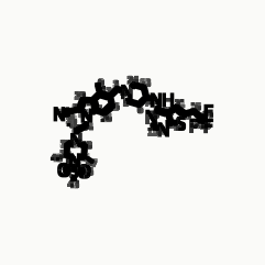 Cc1c(CN2CCC(Nc3ncnc4sc(CC(F)(F)F)cc34)CC2)ccc2c1cc(C#N)n2C[C@@H](C)N1C[C@@H](C)N(S(C)(=O)=O)[C@H](C)C1